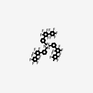 Cc1c(F)c(F)c(-c2c(F)c(F)c(F)c(-c3cccc(-c4nc(-c5cccc(-c6c(F)c(F)c(F)c(-c7c(F)c(F)c(F)c(F)c7F)c6F)c5)nc(-c5cccc(-c6c(F)c(F)c(F)c(-c7c(F)c(F)c(F)c(F)c7F)c6F)c5)n4)c3)c2F)c(F)c1F